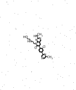 CNc1ncc2cc(-c3ccc(-c4cncc(C)n4)cc3Cl)c(=O)n(CCNCCO)c2n1